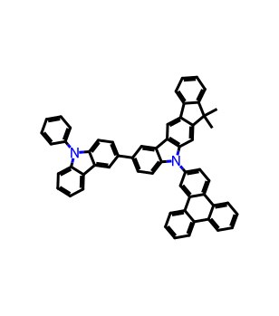 CC1(C)c2ccccc2-c2cc3c4cc(-c5ccc6c(c5)c5ccccc5n6-c5ccccc5)ccc4n(-c4ccc5c6ccccc6c6ccccc6c5c4)c3cc21